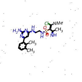 CN/C(Cl)=C(\C(C)=N)S(=O)(=O)NCCNc1cc(-c2cccc(C)c2C)nc(N)n1